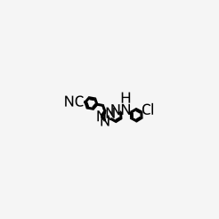 N#Cc1ccc(Cc2nnc3ccc(Nc4cccc(Cl)c4)nn23)cc1